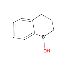 OB1CCCc2ccccc21